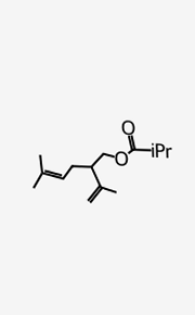 C=C(C)C(CC=C(C)C)COC(=O)C(C)C